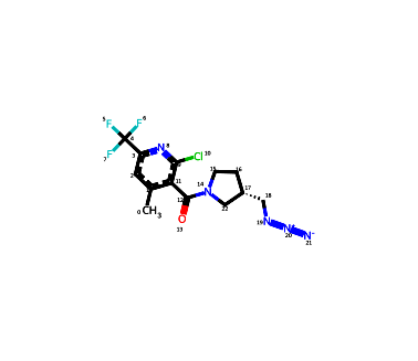 Cc1cc(C(F)(F)F)nc(Cl)c1C(=O)N1CC[C@H](CN=[N+]=[N-])C1